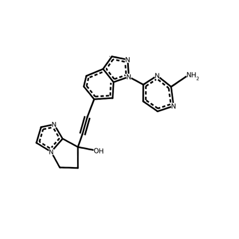 Nc1nccc(-n2n[c]c3ccc(C#CC4(O)CCn5ccnc54)cc32)n1